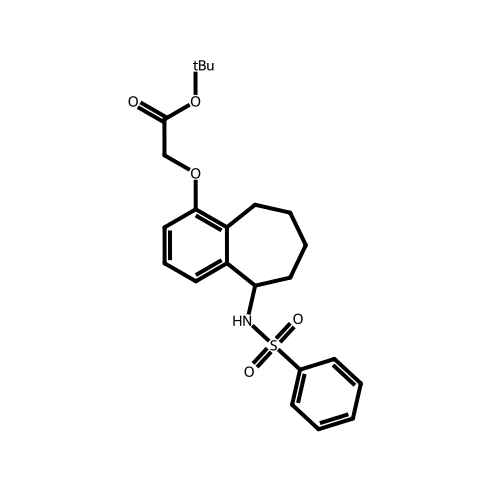 CC(C)(C)OC(=O)COc1cccc2c1CCCCC2NS(=O)(=O)c1ccccc1